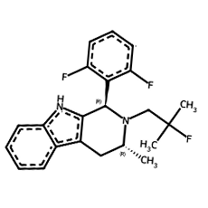 C[C@@H]1Cc2c([nH]c3ccccc23)[C@@H](c2c(F)[c]ccc2F)N1CC(C)(C)F